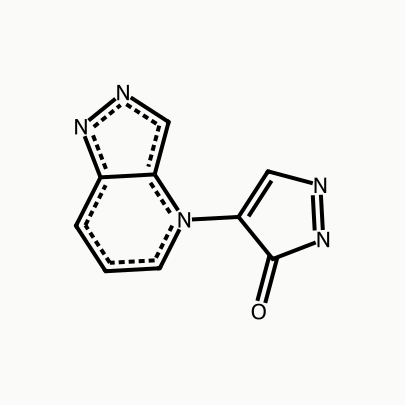 O=C1N=NC=C1n1cccc2nncc1-2